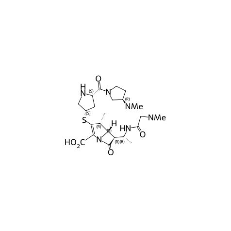 CNCC(=O)N[C@H](C)[C@H]1C(=O)N2C(C(=O)O)=C(S[C@@H]3CN[C@H](C(=O)N4CC[C@@H](NC)C4)C3)[C@H](C)[C@H]12